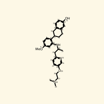 COc1ccc(C2CCc3cc(O)ccc3C2)c(NC(C)Cc2ccc(OCCN(C)C)cn2)c1